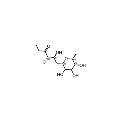 CCC(=O)[C@@H](O)[C@@H](O)C[C@@H]1O[C@@H](C)[C@@H](O)C(O)C1O